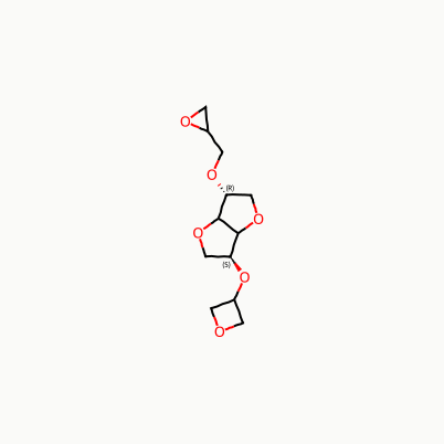 C1OC1CO[C@@H]1COC2C1OC[C@@H]2OC1COC1